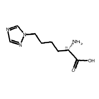 N[C@@H](CCCCn1cncn1)C(=O)O